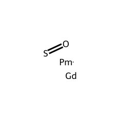 O=S.[Gd].[Pm]